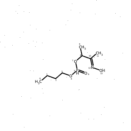 CCCCO[PH](=O)OC(C)C(C)=NO